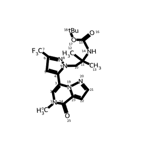 Cn1cc(-c2cc(C(F)(F)F)nn2CC(C)(C)NC(=O)OC(C)(C)C)n2nccc2c1=O